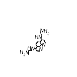 NCCNc1ccnc2c1ccc1c(NCCN)ccnc12